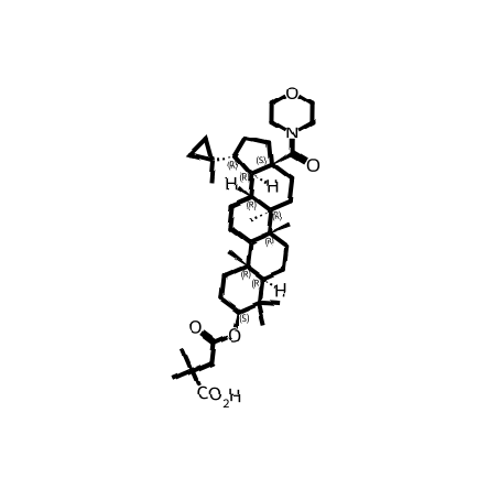 CC(C)(CC(=O)O[C@H]1CC[C@]2(C)C3CC[C@@H]4[C@H]5[C@H](C6(C)CC6)CC[C@]5(C(=O)N5CCOCC5)CC[C@@]4(C)[C@]3(C)CC[C@H]2C1(C)C)C(=O)O